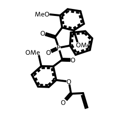 C=CC(=O)Oc1cccc(OC)c1C(=O)P(=O)(C(=O)c1c(OC)cccc1OC)c1ccccc1